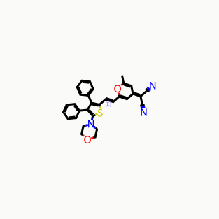 CC1=CC(=C(C#N)C#N)C=C(/C=C/c2sc(N3CCOCC3)c(-c3ccccc3)c2-c2ccccc2)O1